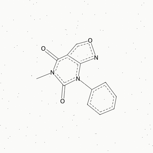 Cn1c(=O)c2conc2n(-c2ccccc2)c1=O